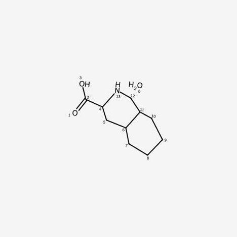 O.O=C(O)C1CC2CCCCC2CN1